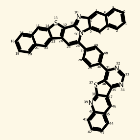 c1ccc2cc3c(cc2c1)nc1c2sc4cc5ccccc5cc4c2cc(-c2ccc(-c4ncnc5c4sc4nc6ccccc6cc45)cc2)n31